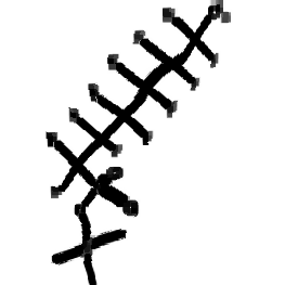 C[Si](C)(C)OS(=O)(=O)C(F)(F)C(F)(F)C(F)(F)C(F)(F)C(F)(F)C(F)(F)C(F)(F)F